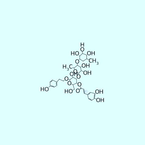 CC1CC(OC2C(C)OC(OC3C(O)C(OCCc4ccc(O)cc4)OC(CO)C3OC(=O)/C=C/c3ccc(O)c(O)c3)C(O)C2O)C(O)C(O)C1O